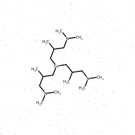 CC(CN(C)C)[CH2][Ge]([CH2]C(C)CN(C)C)[CH2]C(C)CN(C)C